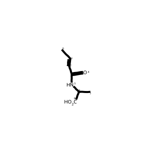 CC=CC(=O)NC(C)C(=O)O